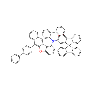 c1ccc(-c2ccc(-c3c4ccccc4cc4c3oc3cccc(N(c5ccc6c(c5)C5(c7ccccc7-c7ccccc75)c5ccccc5-6)c5ccccc5-c5ccccc5)c34)cc2)cc1